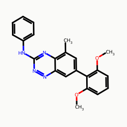 COc1cccc(OC)c1-c1cc(C)c2nc(Nc3ccccc3)nnc2c1